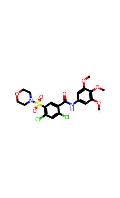 COc1cc(NC(=O)c2cc(S(=O)(=O)N3CCOCC3)c(Cl)cc2Cl)cc(OC)c1OC